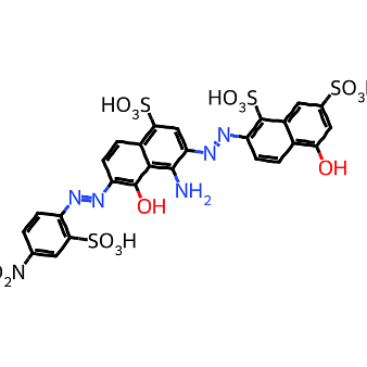 Nc1c(/N=N/c2ccc3c(O)cc(S(=O)(=O)O)cc3c2S(=O)(=O)O)cc(S(=O)(=O)O)c2ccc(/N=N/c3ccc([N+](=O)[O-])cc3S(=O)(=O)O)c(O)c12